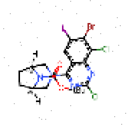 CC(C)(C)OC(=O)N1[C@@H]2CC[C@H]1CN(c1nc(Cl)nc3c(Cl)c(Br)c(I)cc13)C2